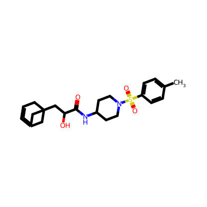 Cc1ccc(S(=O)(=O)N2CCC(NC(=O)C(O)CC34CC=C=C(C3)C4)CC2)cc1